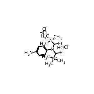 CCC(N(c1ccc(N)cc1)C(CC)[N+](C)(C)C)[N+](C)(C)C.Cl.Cl.[Cl-].[Cl-]